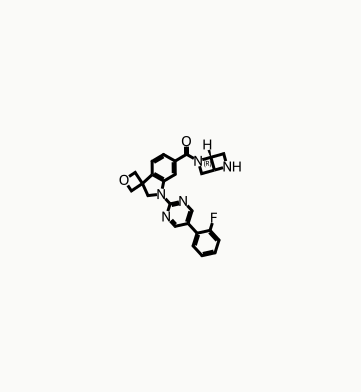 O=C(c1ccc2c(c1)N(c1ncc(-c3ccccc3F)cn1)CC21COC1)N1CC2NC[C@H]21